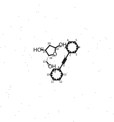 C(#Cc1ccccc1)c1ccccc1.OC[C@H]1OC(O)C[C@@H]1O